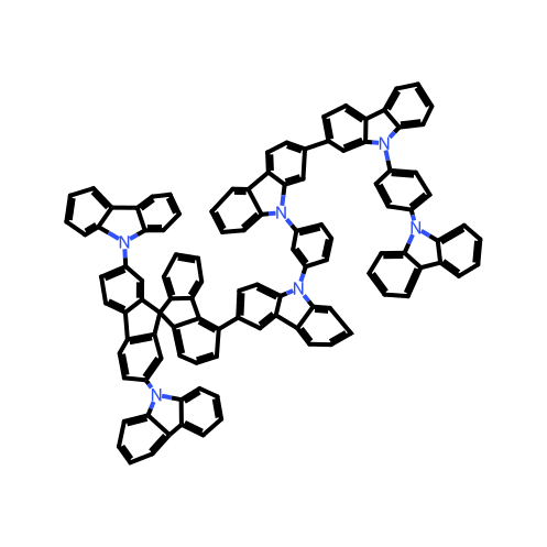 c1cc(-n2c3ccccc3c3cc(-c4cccc5c4-c4ccccc4C54c5cc(-n6c7ccccc7c7ccccc76)ccc5-c5ccc(-n6c7ccccc7c7ccccc76)cc54)ccc32)cc(-n2c3ccccc3c3ccc(-c4ccc5c6ccccc6n(-c6ccc(-n7c8ccccc8c8ccccc87)cc6)c5c4)cc32)c1